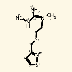 C[N+](CCSCc1ccsn1)=C(N)NC#N